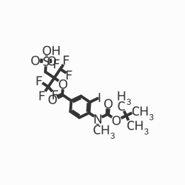 CN(C(=O)OC(C)(C)C)c1ccc(C(=O)OC(CS(=O)(=O)O)(C(F)(F)F)C(F)(F)F)cc1I